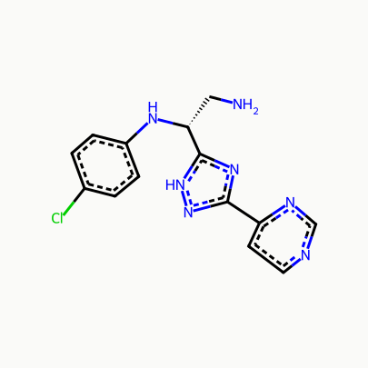 NC[C@@H](Nc1ccc(Cl)cc1)c1nc(-c2ccncn2)n[nH]1